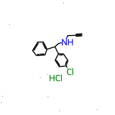 C#CCNCC(c1ccccc1)c1ccc(Cl)cc1.Cl